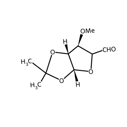 CO[C@H]1C(C=O)O[C@@H]2OC(C)(C)O[C@@H]21